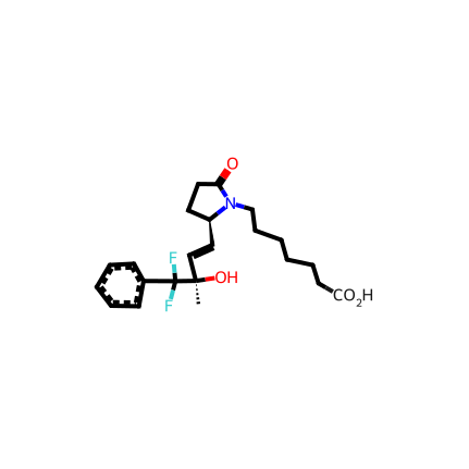 C[C@@](O)(/C=C/[C@H]1CCC(=O)N1CCCCCCC(=O)O)C(F)(F)c1ccccc1